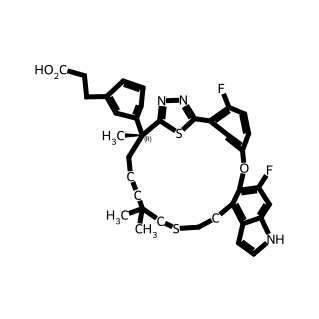 CC1(C)CCC[C@](C)(c2cccc(CCC(=O)O)c2)c2nnc(s2)-c2cc(ccc2F)Oc2c(F)cc3[nH]ccc3c2CCSC1